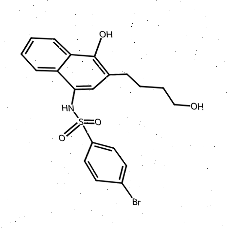 O=S(=O)(Nc1cc(CCCCO)c(O)c2ccccc12)c1ccc(Br)cc1